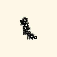 CC(C)(NC(=O)Nc1ccc(Cl)cn1)C(=O)Nc1ccc(-c2ccccc2S(C)(=O)=O)cc1F